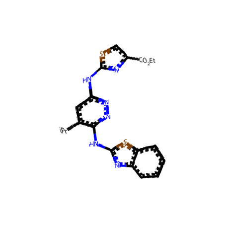 CCOC(=O)c1csc(Nc2cc(C(C)C)c(Nc3nc4ccccc4s3)nn2)n1